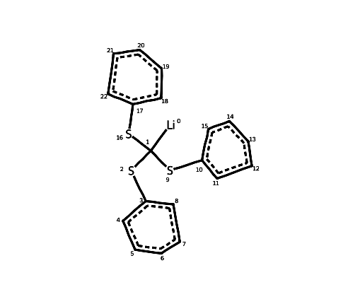 [Li][C](Sc1ccccc1)(Sc1ccccc1)Sc1ccccc1